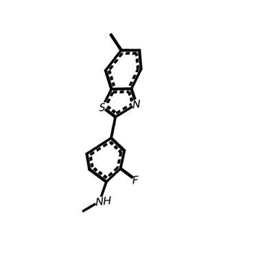 CNc1ccc(-c2nc3ccc(C)cc3s2)cc1F